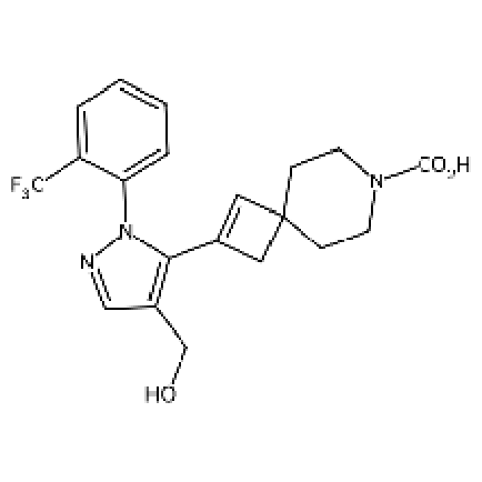 O=C(O)N1CCC2(C=C(c3c(CO)cnn3-c3ccccc3C(F)(F)F)C2)CC1